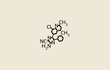 Cc1cc(C)c2cc(-c3nc(C#N)c(N)nc3-c3ccccc3)cc(Cl)c2n1